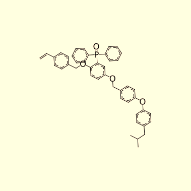 C=Cc1ccc(COc2ccc(OCc3ccc(Oc4ccc(CC(C)C)cc4)cc3)cc2P(=O)(c2ccccc2)c2ccccc2)cc1